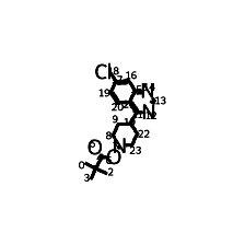 CC(C)(C)C(=O)ON1CCC(c2ncnc3cc(Cl)ccc23)CC1